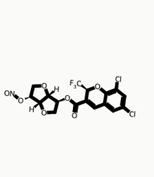 O=NO[C@@H]1CO[C@H]2[C@@H]1OC[C@@H]2OC(=O)C1=Cc2cc(Cl)cc(Cl)c2O[C@@H]1C(F)(F)F